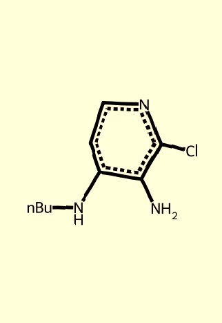 CCCCNc1ccnc(Cl)c1N